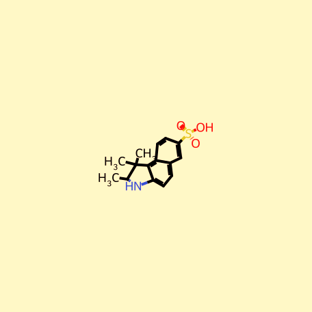 CC1Nc2ccc3cc(S(=O)(=O)O)ccc3c2C1(C)C